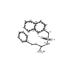 O=C(O)C(CCc1ccccc1)NS(=O)(=O)Cc1ccc2ccccc2c1